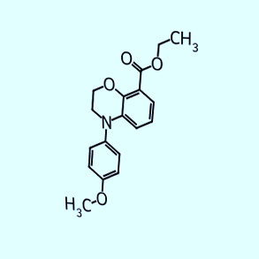 CCOC(=O)c1cccc2c1OCCN2c1ccc(OC)cc1